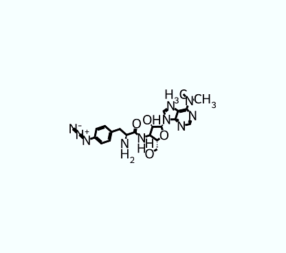 CN(C)c1ncnc2c1ncn2[C@@H]1O[C@H](CO)C(NC(=O)[C@@H](N)Cc2ccc(N=[N+]=[N-])cc2)[C@@H]1O